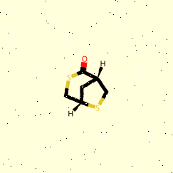 O=C1SC[C@@H]2C[C@H]1CS2